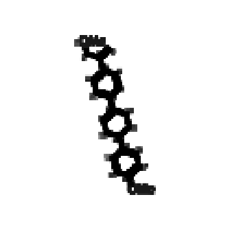 C=C(COC)c1ccc(C2=CCC(c3ccc(OC)cc3)CC2)cc1